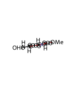 COCCOCCOCCNC(=O)OC/C=C/COC(=O)NCCOCCOCCOC(=O)NCCCCCCNC=O